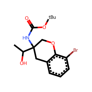 CC(O)C1(NC(=O)OC(C)(C)C)COc2c(Br)cccc2C1